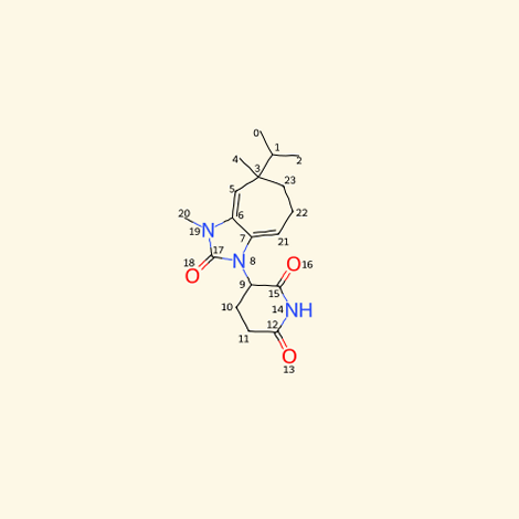 CC(C)C1(C)C=c2c(n(C3CCC(=O)NC3=O)c(=O)n2C)=CCC1